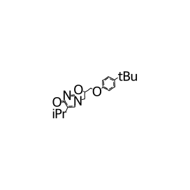 CC(C)c1cn2c(nc1=O)OC(COc1ccc(C(C)(C)C)cc1)C2